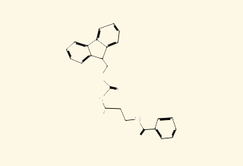 O=C(N[C@@H](CCNC(=O)c1ccccc1)C(=O)O)OCC1c2ccccc2-c2ccccc21